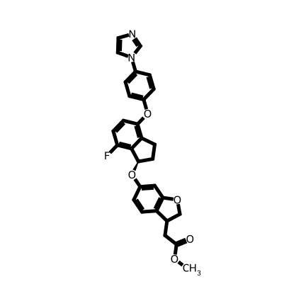 COC(=O)CC1COc2cc(O[C@@H]3CCc4c(Oc5ccc(-n6ccnc6)cc5)ccc(F)c43)ccc21